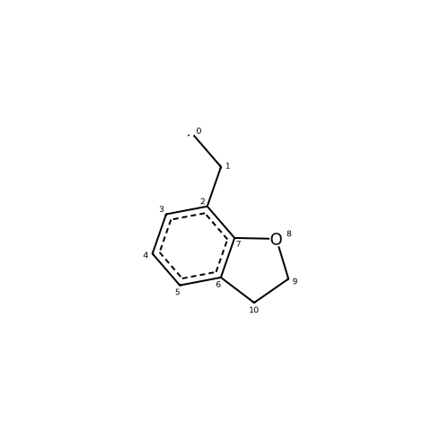 [CH2]Cc1cccc2c1OCC2